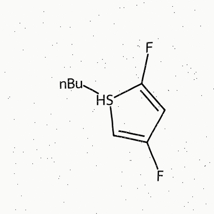 [CH2]CCC[SH]1C=C(F)C=C1F